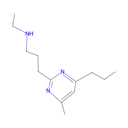 CCCc1cc(C)nc(CCCNCC)n1